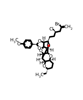 C=C(Br)C[C@H](Cl)CC[C@]12O[C@H]3[C@H]4O[C@@H](CC)CC[C@@H]4OC4[C@H]3O[C@]3(O[C@@H](c5ccc(OC)cc5)O[C@@H]13)[C@H]4O2